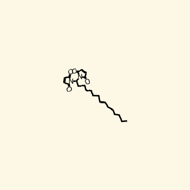 CCCCCCCCCCCCCCC(N1C(=O)C=CC1=O)N1C(=O)C=CC1=O